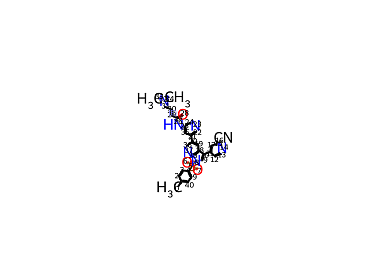 Cc1ccc(S(=O)(=O)n2cc(-c3ccnc(C#N)c3)c3cc(-c4cncc(NC(=O)/C=C/CN(C)C)c4)cnc32)cc1